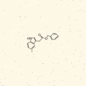 Cc1ccc2[nH]cc(CC(=O)OCc3ccccc3)c2c1